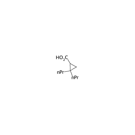 CCCC1(CCC)CC1C(=O)O